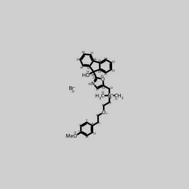 COc1ccc(CCOCC[N+](C)(C)Cc2cnc(C3(O)c4ccccc4-c4ccccc43)o2)cc1.[Br-]